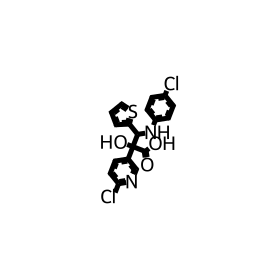 O=C(O)C(O)(c1ccc(Cl)nc1)C(Nc1ccc(Cl)cc1)c1cccs1